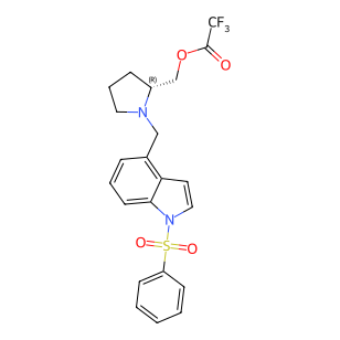 O=C(OC[C@H]1CCCN1Cc1cccc2c1ccn2S(=O)(=O)c1ccccc1)C(F)(F)F